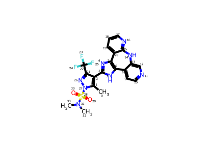 Cc1c(-c2nc3c([nH]2)-c2ccncc2Nc2ncccc2-3)c(C(F)(F)F)nn1S(=O)(=O)N(C)C